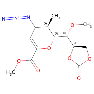 COC(=O)C1=CC(N=[N+]=[N-])[C@@H](C)[C@H]([C@H](OC)[C@H]2COC(=O)O2)O1